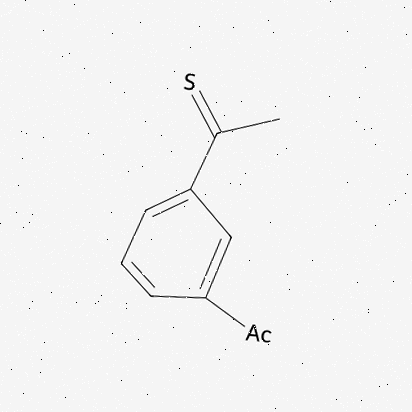 CC(=O)c1cccc(C(C)=S)c1